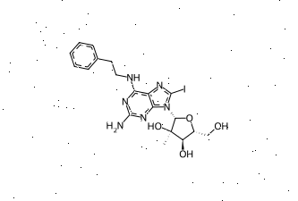 C[C@@]1(O)[C@H](O)[C@@H](CO)O[C@H]1n1c(I)nc2c(NCCc3ccccc3)nc(N)nc21